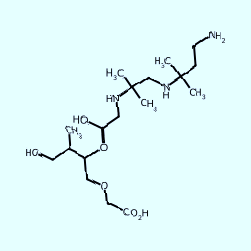 CC(CO)C(COCC(=O)O)OC(O)CNC(C)(C)CNC(C)(C)CCN